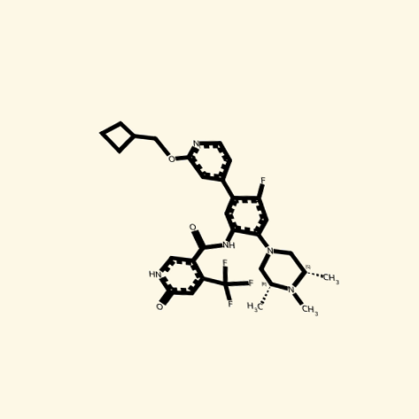 C[C@@H]1CN(c2cc(F)c(-c3ccnc(OCC4CCC4)c3)cc2NC(=O)c2c[nH]c(=O)cc2C(F)(F)F)C[C@H](C)N1C